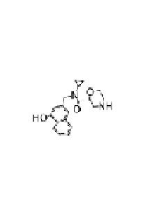 O=C([C@H]1CNCCO1)N(Cc1cc(O)c2ccccc2c1)C1CC1